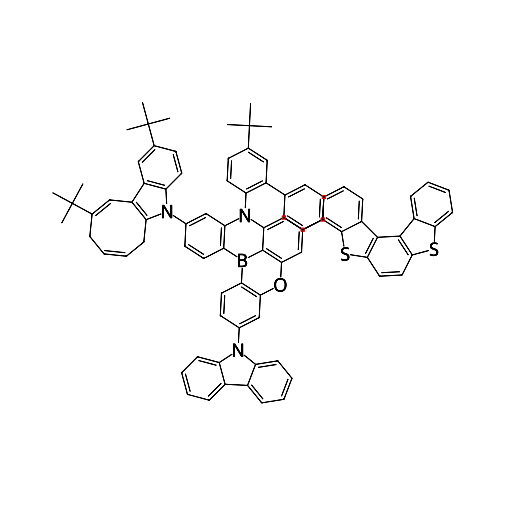 CC(C)(C)/C1=C/c2c(n(-c3ccc4c(c3)N(c3ccc(C(C)(C)C)cc3-c3ccccc3)c3cc(-c5cccc6c5sc5ccc7sc8ccccc8c7c56)cc5c3B4c3ccc(-n4c6ccccc6c6ccccc64)cc3O5)c3ccc(C(C)(C)C)cc23)C/C=C\C1